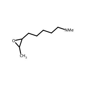 CNCCCCCC1OC1C